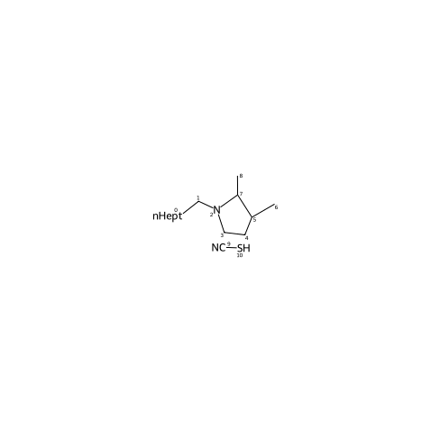 CCCCCCCCN1CCC(C)C1C.N#CS